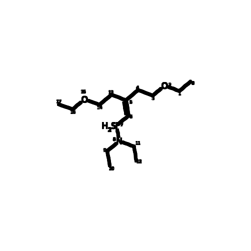 CCOCCC(=C[SiH2]N(CC)CC)CCOCC